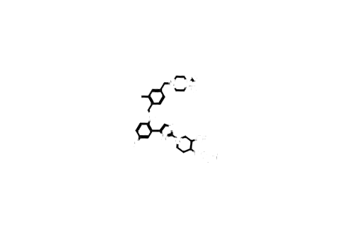 Cc1cc(CN2CCS(=O)(=O)CC2)ccc1COc1ccc(F)cc1-c1csc(N2CCC(C(=O)O)C(C(F)(F)F)C2)n1